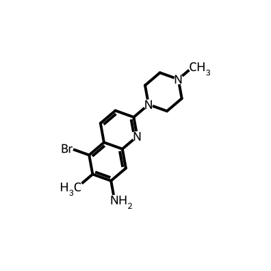 Cc1c(N)cc2nc(N3CCN(C)CC3)ccc2c1Br